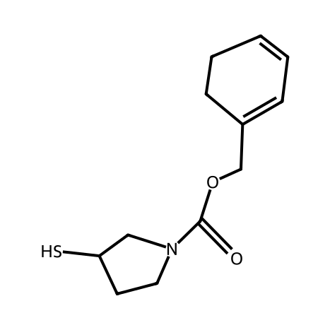 O=C(OCC1=CC=CCC1)N1CCC(S)C1